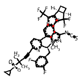 Cn1nc(N=C=S)c2c(Cl)ccc(-c3ccc(C#CC(C)(C)S(=O)(=O)C4CC4)nc3[C@H](Cc3cc(F)cc(F)c3)NC(=O)Cn3nc(C(F)(F)F)c4c3C(F)(F)[C@@H]3CC[C@H]43)c21